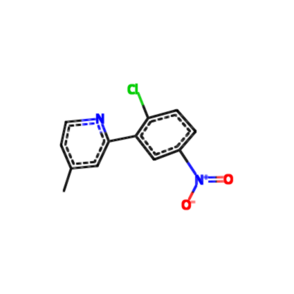 Cc1ccnc(-c2cc([N+](=O)[O-])ccc2Cl)c1